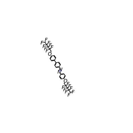 FC(F)C(F)(F)C(F)(F)C(F)(F)COc1ccc(/N=N/c2ccc(-c3ccc(OCC(F)(F)C(F)(F)C(F)(F)C(F)F)cc3)cc2)cc1